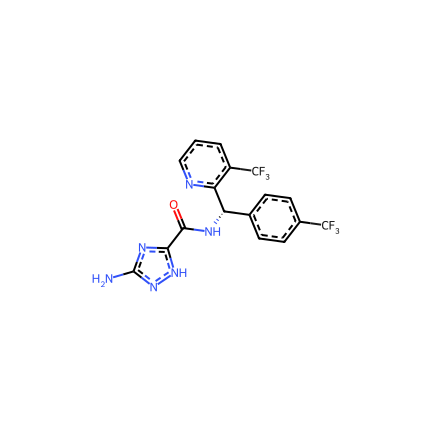 Nc1n[nH]c(C(=O)N[C@@H](c2ccc(C(F)(F)F)cc2)c2ncccc2C(F)(F)F)n1